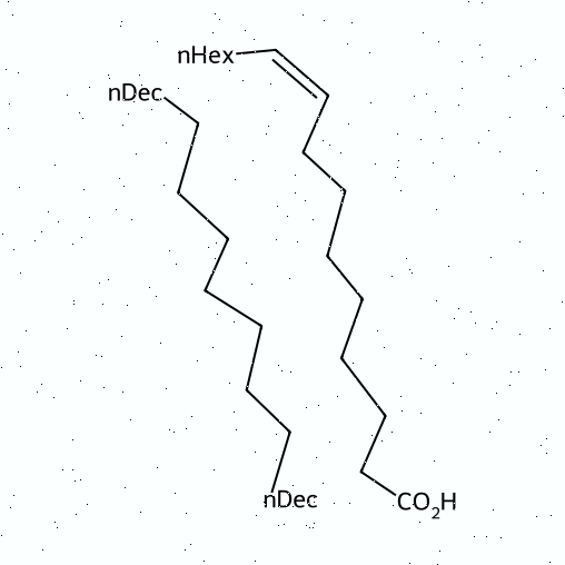 CCCCCC/C=C\CCCCCCCC(=O)O.CCCCCCCCCCCCCCCCCCCCCCCCCCC